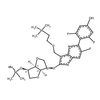 CC(C)(C)[Si](C)(C)O[C@@H]1CO[C@H]2[C@@H]1OC[C@H]2Oc1nc2cc(F)c(-c3c(F)cc(O)cc3F)nc2n1COCC[Si](C)(C)C